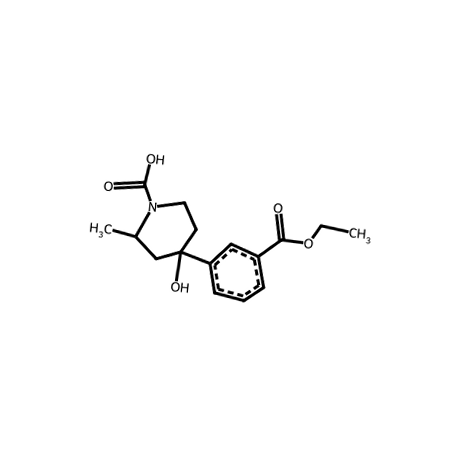 CCOC(=O)c1cccc(C2(O)CCN(C(=O)O)C(C)C2)c1